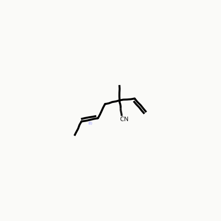 C=CC(C)(C#N)C/C=C/C